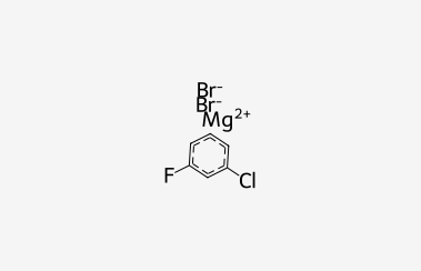 Fc1cccc(Cl)c1.[Br-].[Br-].[Mg+2]